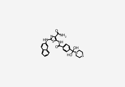 NC(=O)c1nc(Nc2ccc3ccccc3c2)sc1NC(=O)c1ccc(C(O)(O)N2CCSCC2)cc1